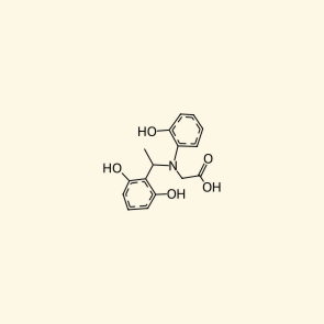 CC(c1c(O)cccc1O)N(CC(=O)O)c1ccccc1O